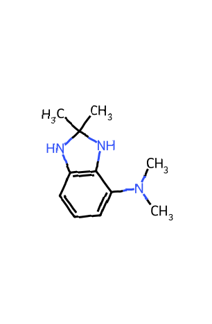 CN(C)c1cccc2c1NC(C)(C)N2